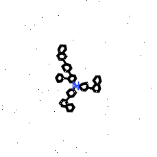 c1ccc(-c2cc(N(c3ccc(-c4cccc5ccccc45)cc3)c3ccc(-c4cccc5ccccc45)cc3)ccc2-c2ccc(-c3ccc4ccccc4c3)cc2)cc1